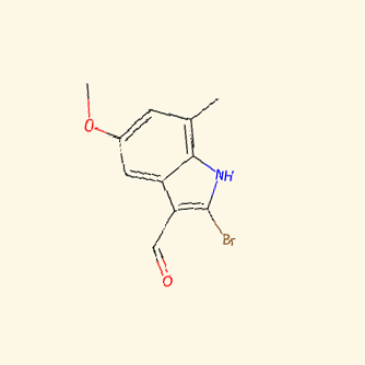 COc1cc(C)c2[nH]c(Br)c(C=O)c2c1